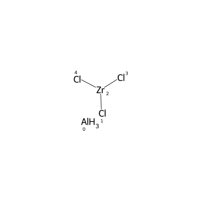 [AlH3].[Cl][Zr]([Cl])[Cl]